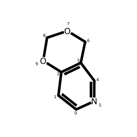 c1cc2c(cn1)COCO2